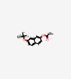 CCC(C)C(=O)Oc1ccc2ccc(OC(C)(C)CC)cc2c1